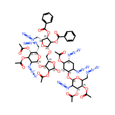 CC(=O)OC1[C@H](O[C@@H]2C(OC(C)=O)[C@H](N=[N+]=[N-])CC(N=[N+]=[N-])[C@H]2O[C@H]2OC(CN=[N+]=[N-])[C@@H](OC(C)=O)[C@H](OC(C)=O)C2N=[N+]=[N-])O[C@H](CO[C@@H]2O[C@H](CN=[N+]=[N-])[C@@H](OC(=O)c3ccccc3)C2OC(=O)c2ccccc2)[C@@H]1O[C@H]1O[C@@H](CN=[N+]=[N-])[C@@H](OC(C)=O)C(OC(C)=O)C1N=[N+]=[N-]